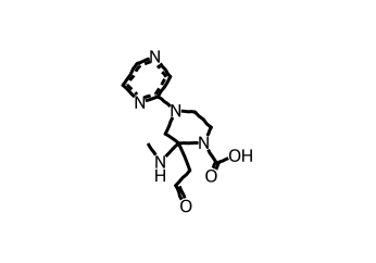 CNC1(CC=O)CN(c2cnccn2)CCN1C(=O)O